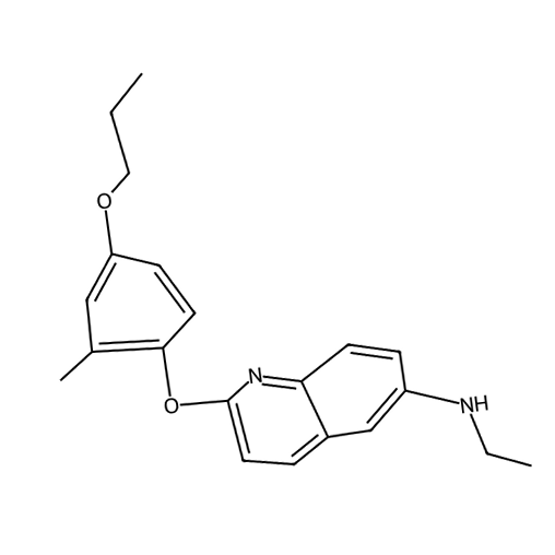 CCCOc1ccc(Oc2ccc3cc(NCC)ccc3n2)c(C)c1